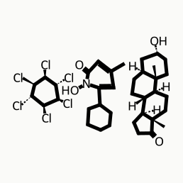 C[C@]12CC[C@@H](O)C[C@@H]1CC[C@@H]1[C@@H]2CC[C@]2(C)C(=O)CC[C@@H]12.Cc1cc(C2CCCCC2)n(O)c(=O)c1.Cl[C@H]1[C@H](Cl)[C@@H](Cl)[C@@H](Cl)[C@H](Cl)[C@H]1Cl